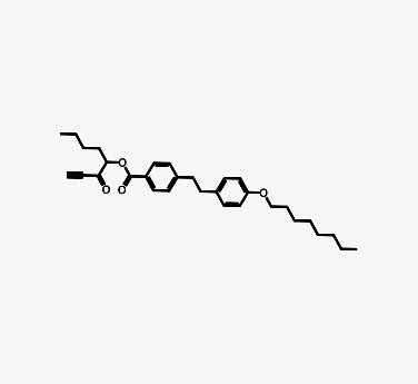 C#CC(=O)C(CCCC)OC(=O)c1ccc(CCc2ccc(OCCCCCCCC)cc2)cc1